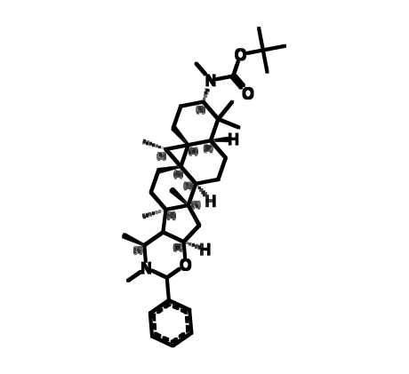 C[C@H]1[C@@]23CC[C@]4(C)C5[C@@H](C[C@@]4(C)[C@@H]2CC[C@H]2C(C)(C)[C@@H](N(C)C(=O)OC(C)(C)C)CC[C@@]123)OC(c1ccccc1)N(C)[C@H]5C